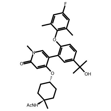 CC(=O)N[C@]1(C)CC[C@@H](Oc2cc(=O)n(C)cc2-c2cc(C(C)(C)O)ccc2Oc2c(C)cc(F)cc2C)CC1